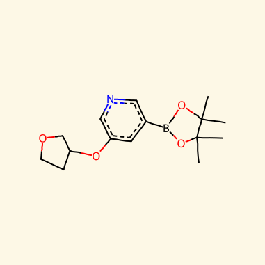 CC1(C)OB(c2cncc(OC3CCOC3)c2)OC1(C)C